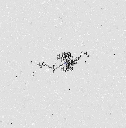 CC#CCOc1ccc(CC(NC(=O)[C@@H](/C=C/CCCCCCC(F)(F)CCCCCCC)[C@@](O)(CCOC)C(=O)OC(C)(C)C)C(=O)OC)cc1